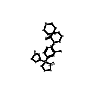 Cc1cc([N+]2([C@H]3CCNC3)CCC[C@H]2C)ccc1N1CCCC2(CCOCC2)C1=O